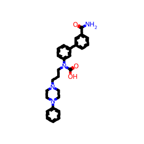 NC(=O)c1cccc(-c2cccc(N(CCCN3CCN(c4ccccc4)CC3)C(=O)O)c2)c1